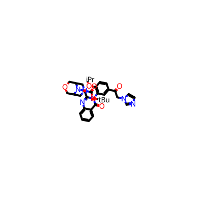 CC(C)Oc1ccc(C(=O)Cn2ccnc2)cc1-n1c(CN2C3COCC2CN(C(=O)OC(C)(C)C)C3)nc2ccccc2c1=O